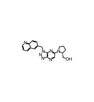 OC[C@@H]1CCCN1c1cnc2nnn(Cc3ccc4ncccc4c3)c2n1